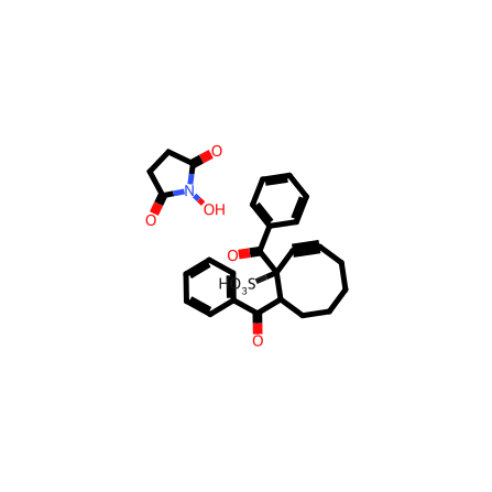 O=C(c1ccccc1)C1CCCCC#CC1(C(=O)c1ccccc1)S(=O)(=O)O.O=C1CCC(=O)N1O